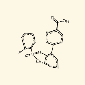 CS(=O)(=Nc1ccccc1-c1ccc(C(=O)O)nc1)c1ccccc1F